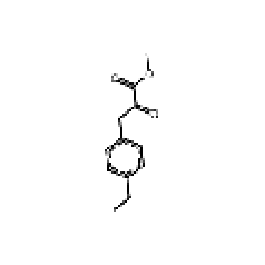 CCc1ccc(CC(=O)C(=O)OC)cc1